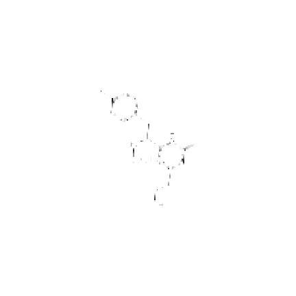 O=C(O)NC(Cc1ccc(Cl)cc1)c1nc(CCO)cc(=O)[nH]1